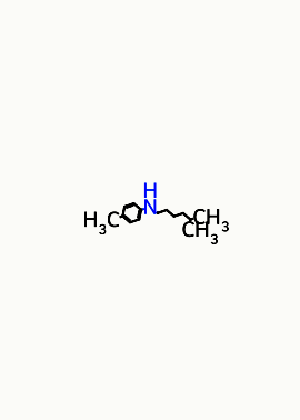 Cc1ccc(NCCCCC(C)C)cc1